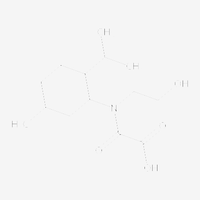 CC1CCC(C(C)C)C(N(CCO)C(=O)C(=O)O)C1